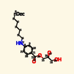 CCCCCCCCCCCCCCCCNc1ccc(C(=O)OCC(=O)CO)cc1